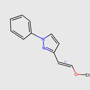 CCO/C=C/c1ccn(-c2ccccc2)n1